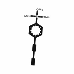 C#CC#Cc1ccc([Si](OC)(OC)OC)cc1